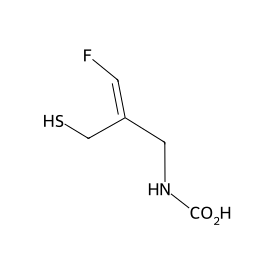 O=C(O)NCC(=CF)CS